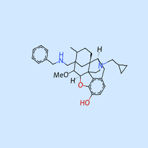 COC1[C@@H]2Oc3c(O)ccc4c3C23CCN(CC2CC2)[C@H](C4)[C@]32CCC(C)C1(CNCc1ccccc1)C2